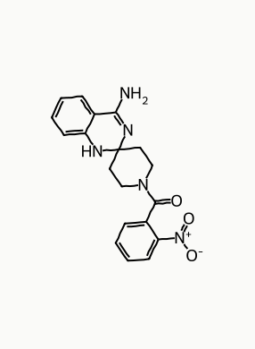 NC1=NC2(CCN(C(=O)c3ccccc3[N+](=O)[O-])CC2)Nc2ccccc21